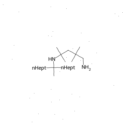 CCCCCCCC(C)(CCCCCCC)NC(C)(C)CC(C)(C)CN